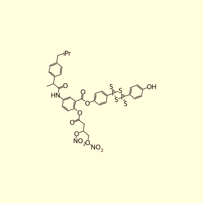 CC(C)Cc1ccc(C(C)C(=O)Nc2ccc(OC(=O)CC(CO[N+](=O)[O-])O[N+](=O)[O-])c(C(=O)Oc3ccc(P4(=S)SP(=S)(c5ccc(O)cc5)S4)cc3)c2)cc1